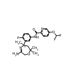 CC1(C)C[C@@](C)(c2cc(NC(=O)c3ccc(OC(F)F)cn3)ccc2F)N=C(N)CO1